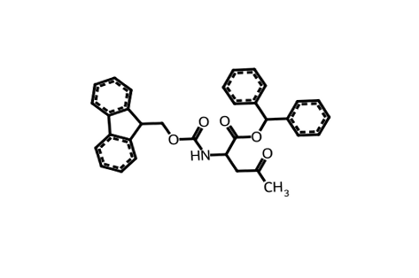 CC(=O)CC(NC(=O)OCC1c2ccccc2-c2ccccc21)C(=O)OC(c1ccccc1)c1ccccc1